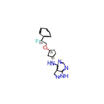 F[C@H](CO[C@H]1CC[C@H](Nc2ncnc3[nH]ncc23)C1)c1ccccc1